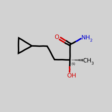 C[C@](O)(CCC1CC1)C(N)=O